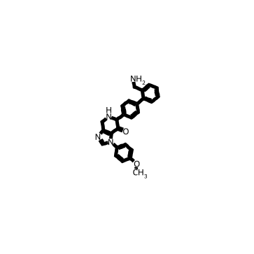 COc1ccc(-n2cnc3c2C(=O)C(c2ccc(-c4ccccc4CN)cc2)NC3)cc1